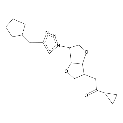 O=C(CC1COC2C1OCC2n1cc(CC2CCCC2)nn1)C1CC1